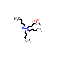 CCCCN[N+](CCCC)(CCCC)CCCC.O.[OH-]